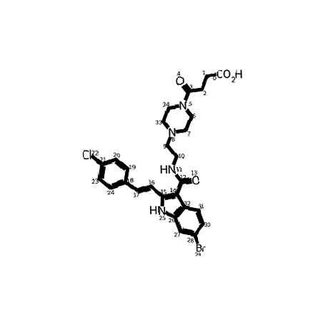 O=C(O)CCC(=O)N1CCN(CCNC(=O)c2c(C=Cc3ccc(Cl)cc3)[nH]c3cc(Br)ccc23)CC1